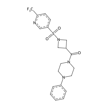 O=C(C1CN(S(=O)(=O)c2ccc(C(F)(F)F)nc2)C1)N1CCN(c2ccccc2)CC1